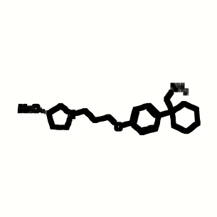 CO[C@H]1CCN(CCCOc2ccc(C3(CN)CCCCC3)cc2)C1